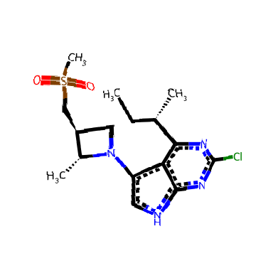 CC[C@H](C)c1nc(Cl)nc2[nH]cc(N3C[C@H](CS(C)(=O)=O)[C@H]3C)c12